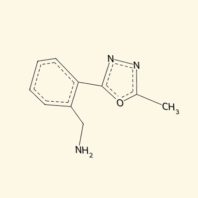 Cc1nnc(-c2ccccc2CN)o1